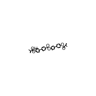 C=C(C)C(=O)Oc1ccc(-c2ccc(OC(=O)c3ccc(-c4ccc(OC(O)C(=C)C)cc4)cc3)cc2)cc1